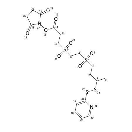 CC(CCS(=O)(=O)CCS(=O)(=O)CCC(=O)ON1C(=O)CCC1=O)SSc1ccccn1